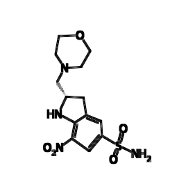 NS(=O)(=O)c1cc2c(c([N+](=O)[O-])c1)N[C@H](CN1CCOCC1)C2